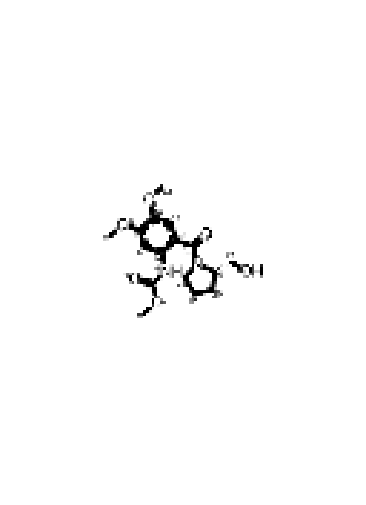 COC(=O)Nc1cc(OC)c(OC)cc1C(=O)N1CCC[C@H]1CO